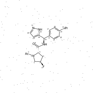 CC(=O)N1C[C@H](F)C[C@H]1C(=O)N[C@H](c1ccc(C(C)C)cc1)c1ccn[nH]1